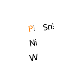 [Ni].[P].[Sn].[W]